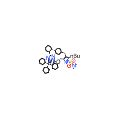 CCCCc1c(Cc2ccc(-c3ccccc3-c3nnn(C(c4ccccc4)(c4ccccc4)c4ccccc4)n3)cc2)c(COC)nn1S(=O)(=O)N(C)C